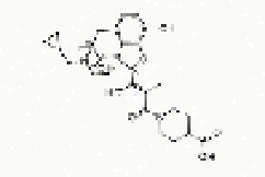 C/C(C(=O)N1CCC(C(=O)O)CC1)=C(/O)[C@@H]1Oc2c(O)ccc3c2[C@@]12CCN(CC1CC1)[C@H](C3)[C@@]2(C)O